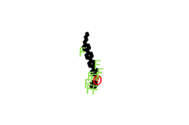 CCCCCc1ccc(-c2ccc(-c3ccc(-c4cc(F)c(C(F)(F)Oc5cc(F)c(F)c(F)c5)c(F)c4)c(F)c3)cc2)c(F)c1